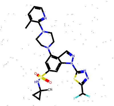 Cc1cccnc1N1CCN(c2cc(S(=O)(=O)NC3(C#N)CC3)cc3c2cnn3-c2nnc(C(F)F)s2)CC1